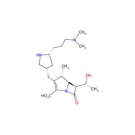 C[C@H]1C(S[C@@H]2CN[C@H](CCCN(C)C)C2)=C(C(=O)O)N2C(=O)[C@H]([C@@H](C)O)C12